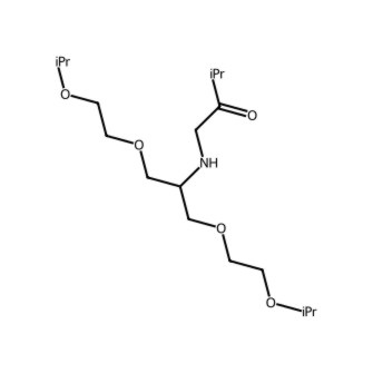 CC(C)OCCOCC(COCCOC(C)C)NCC(=O)C(C)C